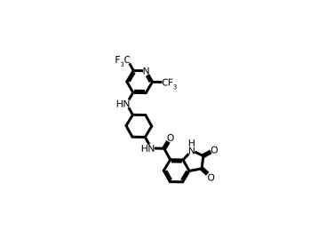 O=C1Nc2c(C(=O)NC3CCC(Nc4cc(C(F)(F)F)nc(C(F)(F)F)c4)CC3)cccc2C1=O